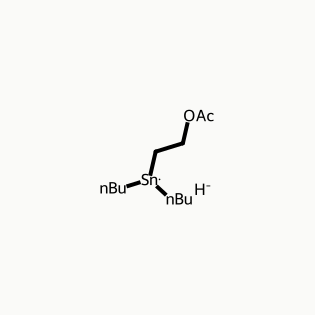 CCC[CH2][Sn]([CH2]CCC)[CH2]COC(C)=O.[H-]